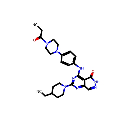 N#CCC(=O)N1CCN(c2ccc(Nc3nc(N4CCC(CC#N)CC4)nc4cn[nH]c(=O)c34)cc2)CC1